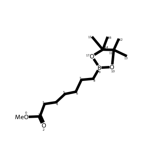 COC(=O)CCCCCCB1OC(C)(C)C(C)(C)O1